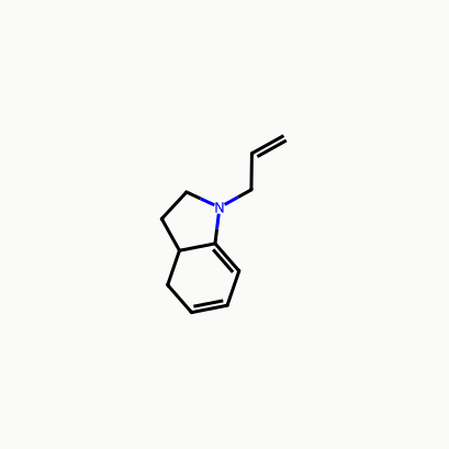 C=CCN1CCC2CC=CC=C21